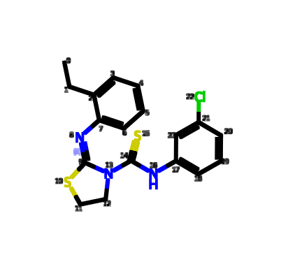 CCc1ccccc1/N=C1/SCCN1C(=S)Nc1cccc(Cl)c1